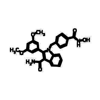 COc1cc(OC)cc(-c2c(C(N)=O)c3ccccc3n2Cc2ccc(C(=O)NO)cc2)c1